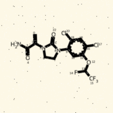 C=C(C(N)=O)N1CCN(c2cc(OC(F)C(F)(F)F)c(Cl)cc2Cl)C1=O